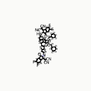 N#CC(C#N)=C1/C(=N/c2cc3sc4c(c3s2)OC(C(=O)OCc2ccccc2)(C(=O)OCc2ccccc2)c2c-4sc3cc(NC4C(=O)c5cc(F)c(F)cc5C4=C(C#N)C#N)sc23)C(=O)c2cc(F)c(F)cc21